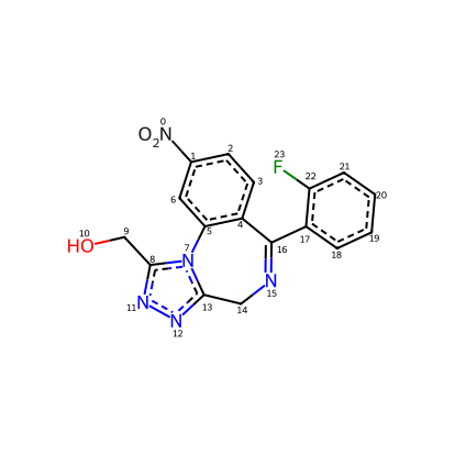 O=[N+]([O-])c1ccc2c(c1)-n1c(CO)nnc1CN=C2c1ccccc1F